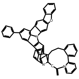 C=C1CC23Cc4cccc([n+]42)-c2cc4c5cc(-c6ccccc6)cc6c7cc8c(cc7n(c4cc2C3CCc2ccccc2-c2cccc[n+]21)c56)oc1ccccc18